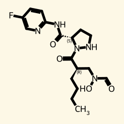 CCCC[C@H](CN(O)C=O)C(=O)N1NCC[C@H]1C(=O)Nc1ccc(F)cn1